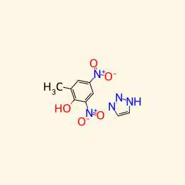 Cc1cc([N+](=O)[O-])cc([N+](=O)[O-])c1O.c1c[nH]nn1